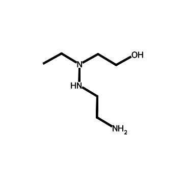 CCN(CCO)NCCN